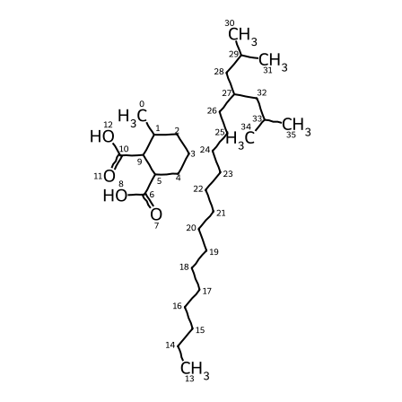 CC1CCCC(C(=O)O)C1C(=O)O.CCCCCCCCCCCCCCC(CC(C)C)CC(C)C